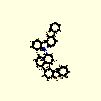 c1ccc2c(c1)sc1c2ccc2c1c1ccccc1n2-c1ccc2c3c(cccc13)-c1ccc3sc4ccccc4c3c1-2